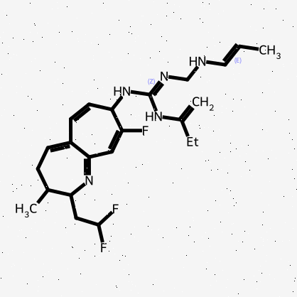 C=C(CC)N/C(=N\CN/C=C/C)NC1C=CC2=CCC(C)C(CC(F)F)N=C2C=C1F